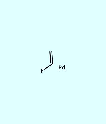 C=CF.[Pd]